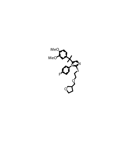 COc1ccc(C(C)(C)c2cnc(SCCOCC3CCOC3)n2-c2ccc(F)cc2)cc1OC